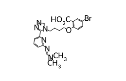 CN(C)C=Nc1cccc(-c2nncn2CCCCOc2ccc(Br)cc2C(=O)O)n1